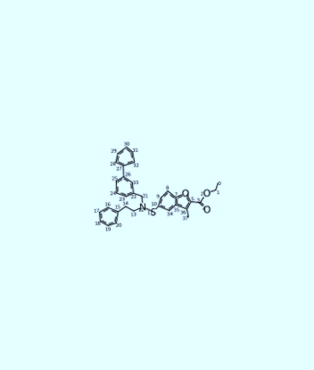 CCOC(=O)c1oc2ccc(SN(CCc3ccccc3)Cc3cccc(-c4ccccc4)c3)cc2c1C